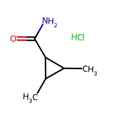 CC1C(C)C1C(N)=O.Cl